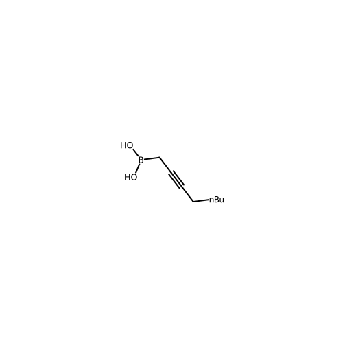 CCCCCC#CCB(O)O